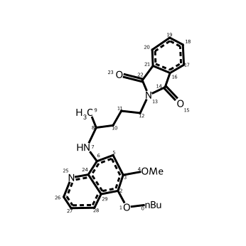 CCCCOc1c(OC)cc(NC(C)CCCN2C(=O)c3ccccc3C2=O)c2ncccc12